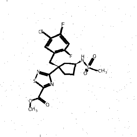 COC(=O)c1nc([C@@]2(Cc3cc(Cl)c(F)cc3F)CC[C@H](NS(C)(=O)=O)C2)ns1